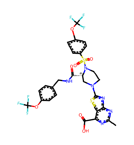 Cc1nc(C(=O)O)c2sc(N3CCN(S(=O)(=O)c4ccc(OC(F)(F)F)cc4)[C@@H](C(=O)NCc4ccc(OC(F)(F)F)cc4)C3)nc2n1